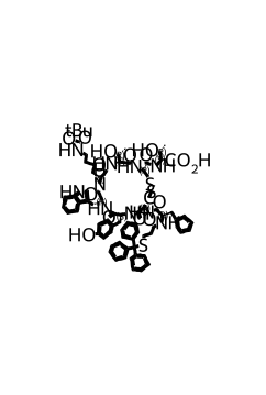 C[C@@H](O)[C@H](NC(=O)[C@@H]1CSSC[C@H](NC(=O)[C@@H](Cc2ccccc2)NC(=O)CCSC(c2ccccc2)(c2ccccc2)c2ccccc2)C(=O)N[C@@H](Cc2ccc(O)cc2)C(=O)N[C@H](Cc2c[nH]c3ccccc23)C(=O)N[C@@H](CCCCNC(=O)OC(C)(C)C)C(=O)N[C@@H]([C@@H](C)O)C(=O)N1)C(=O)O